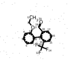 CCOc1ccccc1-c1c(C(F)(F)F)[c]ccc1C=O